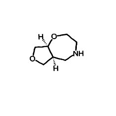 C1CO[C@@H]2COC[C@@H]2CN1